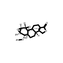 CC(C)O[C@@H]1[C@@]2(C(C)C)O[C@H]2[C@@H]2O[C@@]23[C@@]2(C)CCC4=C(COC4=O)[C@@H]2CC[C@@]13O